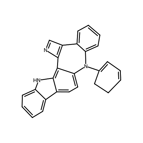 C1=CCCC(n2c3ccccc3c3cnc=3c3c4[nH]c5ccccc5c4ccc32)=C1